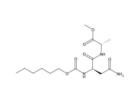 CCCCCCOC(=O)N[C@H](CC(N)=O)C(=O)N[C@@H](C)C(=O)OC